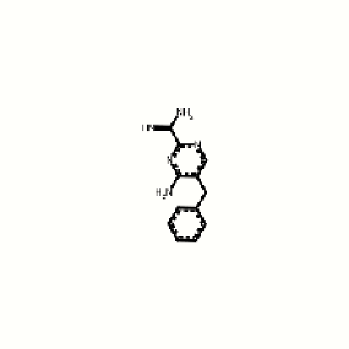 N=C(N)c1ncc(Cc2ccccc2)c(N)n1